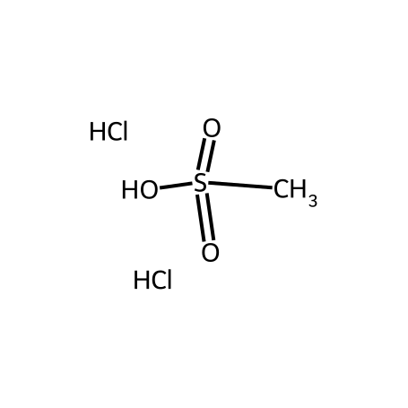 CS(=O)(=O)O.Cl.Cl